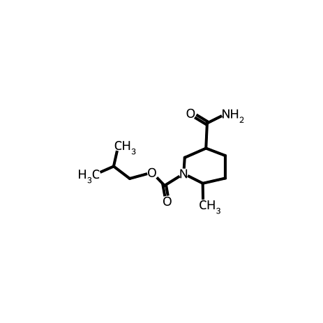 CC(C)COC(=O)N1CC(C(N)=O)CCC1C